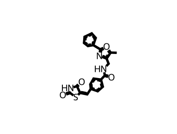 Cc1oc(-c2ccccc2)nc1CNC(=O)c1ccc(C=C2SC(=O)NC2=O)cc1